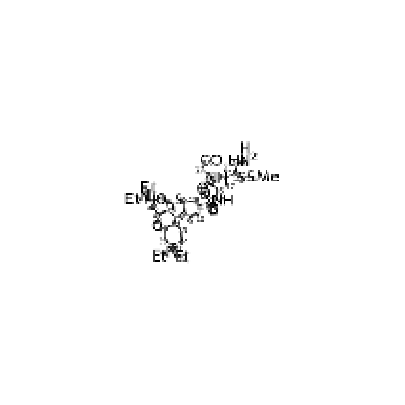 CCN(CC)c1ccc2c(-c3ccc(S(=O)(=O)N[C@@H](CC[C@@H](CN)SSC)C(=O)NCC(=O)O)cc3S(=O)(=O)O)c3ccc(=[N+](CC)CC)cc-3oc2c1